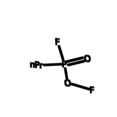 CCCP(=O)(F)OF